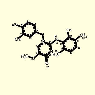 COc1cn(Cc2ccc(F)c(Cl)c2)c(Nc2c(C)ccc(C)c2F)nc1=O